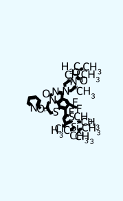 CC(C)[Si](c1sc(-c2c(C(F)(F)F)cc3c(N4C[C@@H](C)N(C(=O)OC(C)(C)C)[C@@H](C)C4)nc(=O)n4c3c2SC[C@@H](Oc2ccccn2)C4)cc1Cl)(C(C)C)C(C)C